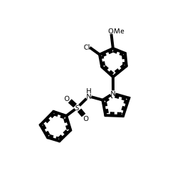 COc1ccc(-n2cccc2NS(=O)(=O)c2ccccc2)cc1Cl